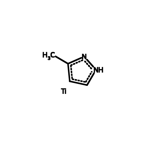 Cc1cc[nH]n1.[Ti]